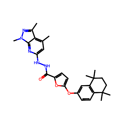 Cc1cc(NNC(=O)c2ccc(Oc3ccc4c(c3)C(C)(C)CCC4(C)C)o2)nc2c1c(C)nn2C